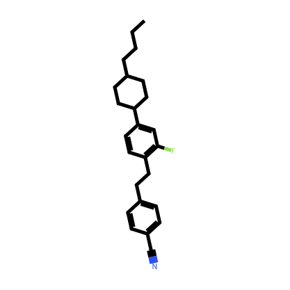 CCCCC1CCC(c2ccc(CCc3ccc(C#N)cc3)c(F)c2)CC1